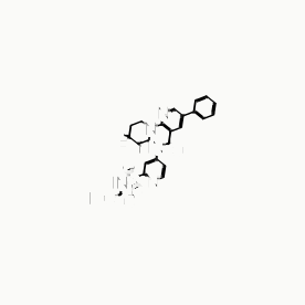 O=C(O)NS(=O)(=O)c1cc(NC(=O)c2cc(-c3ccccc3)cnc2N2CCC(F)(F)CC2)ccn1